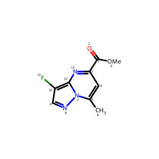 COC(=O)c1cc(C)n2ncc(F)c2n1